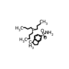 CC1CCc2cc(S(N)(=O)=O)ccc21.CCCCP(CCCC)CCCC